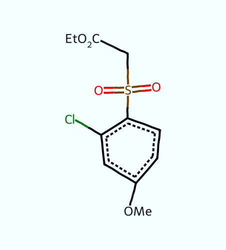 CCOC(=O)CS(=O)(=O)c1ccc(OC)cc1Cl